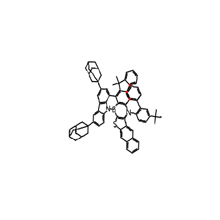 CC(C)(C)c1ccc(N2c3cc4c(c5c3B(c3sc6cc7ccccc7cc6c32)n2c3ccc(C67CC8CC(CC(C8)C6)C7)cc3c3cc(C67CC8CC(CC(C8)C6)C7)cc-5c32)C(C)(C)c2ccccc2-4)c(-c2ccccc2)c1